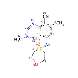 Cc1cc(N=S2(=O)CCOCC2)cc(/N=C\N(C)C)c1C#N